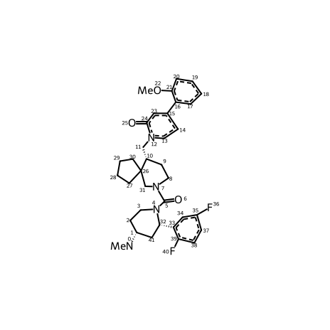 CN[C@@H]1CCN(C(=O)N2CC[C@@H](Cn3ccc(-c4ccccc4OC)cc3=O)C3(CCCC3)C2)[C@H](c2cc(F)ccc2F)C1